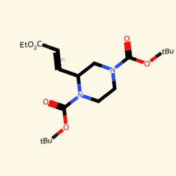 CCOC(=O)/C=C/C1CN(C(=O)OC(C)(C)C)CCN1C(=O)OC(C)(C)C